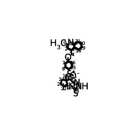 Cc1cc(COc2ccc([S+]([O-])CC3(Cc4n[nH]c(=S)[nH]4)CCCC3)cc2)c2ccccc2n1